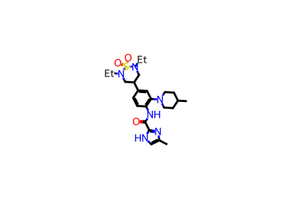 CCN1CC(c2ccc(NC(=O)c3nc(C)c[nH]3)c(N3CCC(C)CC3)c2)CN(CC)S1(=O)=O